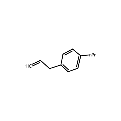 [CH]=CCc1ccc(CCC)cc1